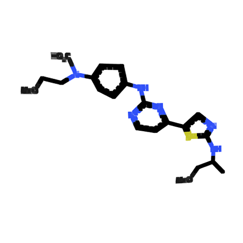 COCCN(C(=O)O)c1ccc(Nc2nccc(-c3cnc(NC(C)COC)s3)n2)cc1